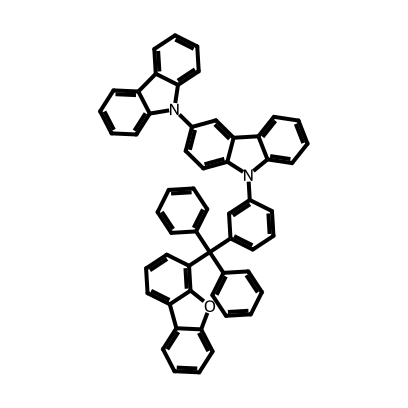 c1ccc(C(c2ccccc2)(c2cccc(-n3c4ccccc4c4cc(-n5c6ccccc6c6ccccc65)ccc43)c2)c2cccc3c2oc2ccccc23)cc1